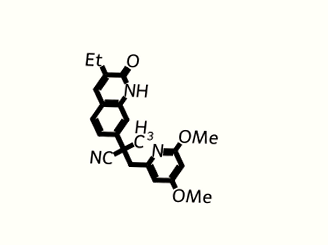 CCc1cc2ccc(C(C)(C#N)Cc3cc(OC)cc(OC)n3)cc2[nH]c1=O